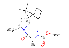 CC(C)(C)OC(=O)NC(C(=O)N1C[C@]2(C[C@H]1C(=O)O)C(C)(C)C21CCC1)C(C)(C)C